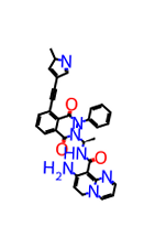 CC1C=C(C#Cc2cccc3c(=O)n([C@@H](C)NC(=O)C4=C5N=CC=CN5CC=C4N)n(-c4ccccc4)c(=O)c23)C=N1